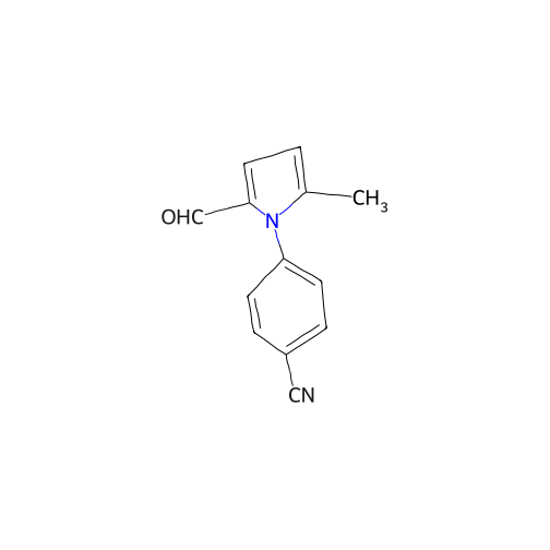 Cc1ccc(C=O)n1-c1ccc(C#N)cc1